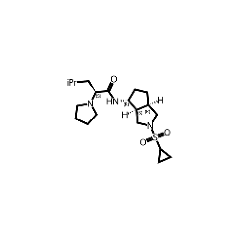 CC(C)C[C@@H](C(=O)N[C@@H]1CC[C@H]2CN(S(=O)(=O)C3CC3)C[C@H]21)N1CCCC1